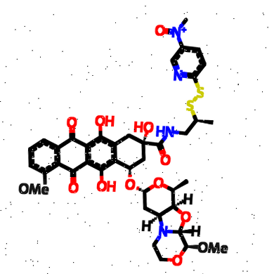 COc1cccc2c1C(=O)c1c(O)c3c(c(O)c1C2=O)C[C@@](O)(C(=O)NC[C@H](C)SSc1ccc([N+](C)=O)cn1)C[C@@H]3O[C@H]1C[C@H]2[C@H](O[C@@H]3[C@@H](OC)OCCN32)[C@H](C)O1